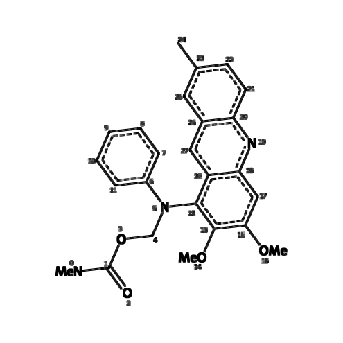 CNC(=O)OCN(c1ccccc1)c1c(OC)c(OC)cc2nc3ccc(C)cc3cc12